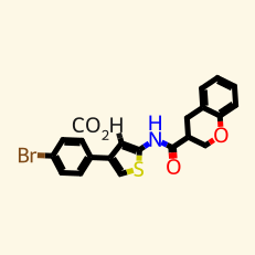 O=C(O)c1c(-c2ccc(Br)cc2)csc1NC(=O)C1COc2ccccc2C1